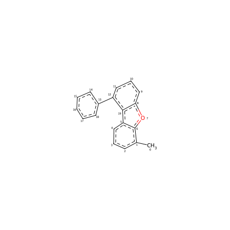 Cc1cccc2c1oc1cccc(-c3ccccc3)c12